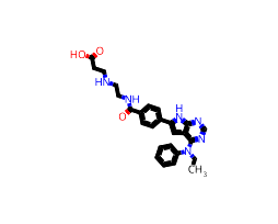 CCN(c1ccccc1)c1ncnc2[nH]c(-c3ccc(C(=O)NCCNCCC(=O)O)cc3)cc12